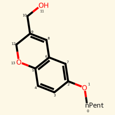 CCCCCOc1ccc2c(c1)C=C(CO)CO2